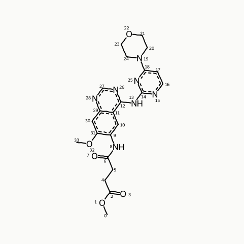 COC(=O)CCC(=O)Nc1cc2c(Nc3nccc(N4CCOCC4)n3)ncnc2cc1OC